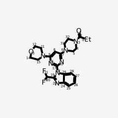 CCC(=O)N1CCN(c2cc(N3CCOCC3)nc(-n3c(C(F)F)nc4ccccc43)n2)CC1